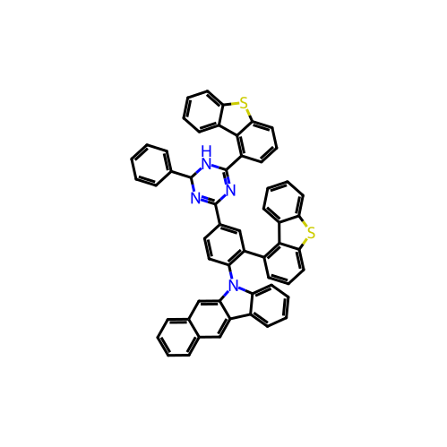 c1ccc(C2N=C(c3ccc(-n4c5ccccc5c5cc6ccccc6cc54)c(-c4cccc5sc6ccccc6c45)c3)N=C(c3cccc4sc5ccccc5c34)N2)cc1